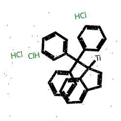 Cl.Cl.Cl.[Ti][C]1(C(c2ccccc2)(c2ccccc2)c2ccccc2)C=Cc2ccccc21